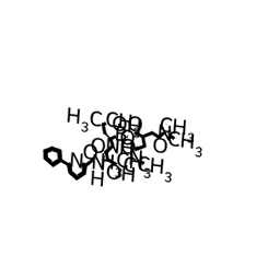 CC(C)C[C@H](NC(=O)[C@@H](NC(=O)c1cccc(-c2ccccc2)n1)[C@@H](C)O)B(O)OC(=O)C(CC(=O)N(C)C)CC(=O)N(C)C